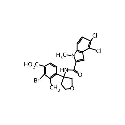 Cc1c(C2(NC(=O)c3cc4c(Cl)c(Cl)ccc4n3C)CCOC2)ccc(C(=O)O)c1Br